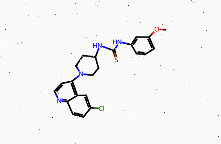 COc1cccc(NC(=S)NC2CCN(c3ccnc4ccc(Cl)cc34)CC2)c1